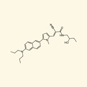 CCCN(CCC)c1ccc2cc(-c3ccc(/C=C(\C#N)C(=O)NCC(O)CC)n3C)ccc2c1